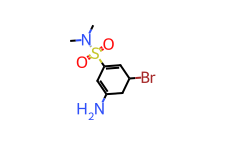 CN(C)S(=O)(=O)C1=CC(Br)CC(N)=C1